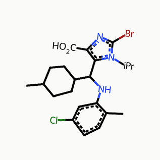 Cc1ccc(Cl)cc1NC(c1c(C(=O)O)nc(Br)n1C(C)C)C1CCC(C)CC1